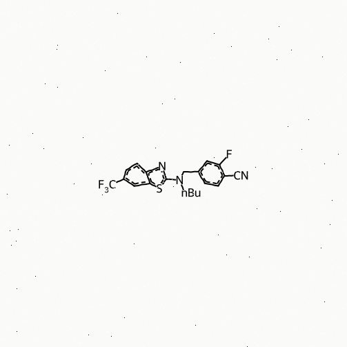 CCCCN(Cc1ccc(C#N)c(F)c1)c1nc2ccc(C(F)(F)F)cc2s1